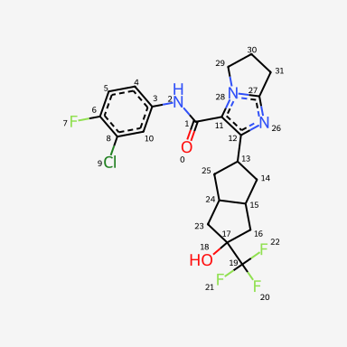 O=C(Nc1ccc(F)c(Cl)c1)c1c(C2CC3CC(O)(C(F)(F)F)CC3C2)nc2n1CCC2